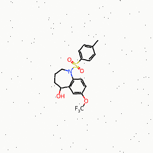 Cc1ccc(S(=O)(=O)N2CCCC(O)c3cc(OC(F)(F)F)ccc32)cc1